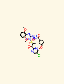 COc1cccc(OC)c1/N=C(/NNC(=O)[C@@H]1CC[C@H](OC)C1)NS(=O)(=O)C(C)C(OC)c1ncc(Cl)cn1